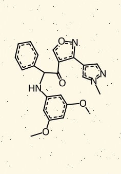 COc1cc(NC(C(=O)c2conc2-c2cnn(C)c2)c2ccccc2)cc(OC)c1